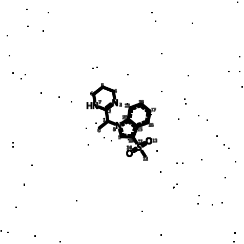 CC(C1=NCCCN1)n1cc(S(C)(=O)=O)c2ccccc21